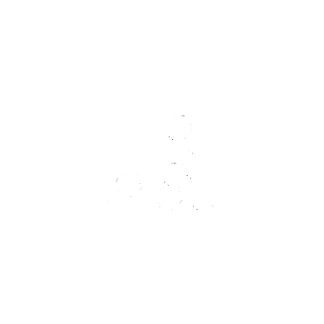 CCN1C(=O)CCN(C(=O)Nc2ccc(F)cn2)c2nc(-c3cccc(Cl)c3)ccc21